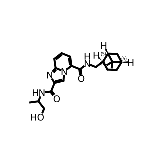 CC(CO)NC(=O)c1cn2c(C(=O)NC[C@@H]3CC[C@H]4C[C@@H]3C4(C)C)cccc2n1